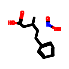 CC(CCc1ccccc1)CC(=O)O.O=NO